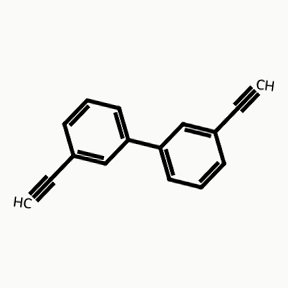 C#Cc1cccc(-c2cccc(C#C)c2)c1